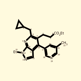 CCOC(=O)CCc1c(CC2CC2)nc2c(cnn2CC)c1-c1cncc(C)c1